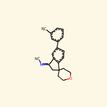 N#C/N=C1/CC2(CCOCC2)c2ccc(-c3cccc(C#N)c3)cc21